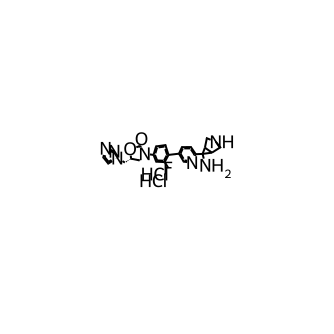 Cl.Cl.NC1(c2ccc(-c3ccc(N4C[C@H](Cn5ccnn5)OC4=O)cc3F)cn2)C2CNCC21